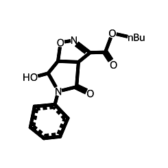 CCCCOC(=O)C1=NOC2C1C(=O)N(c1ccccc1)C2O